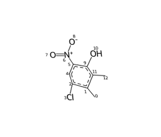 Cc1c(Cl)cc([N+](=O)[O-])c(O)c1C